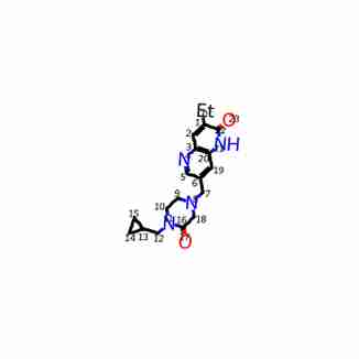 CCc1cc2ncc(CN3CCN(CC4CC4)C(=O)C3)cc2[nH]c1=O